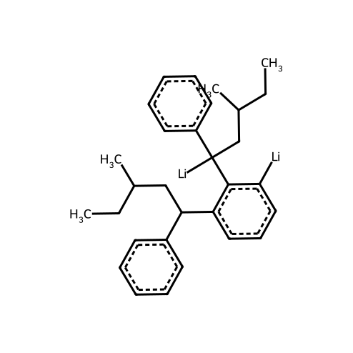 [Li][c]1cccc(C(CC(C)CC)c2ccccc2)c1[C]([Li])(CC(C)CC)c1ccccc1